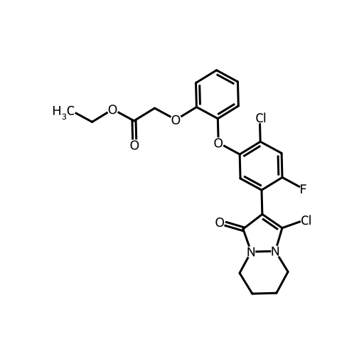 CCOC(=O)COc1ccccc1Oc1cc(-c2c(Cl)n3n(c2=O)CCCC3)c(F)cc1Cl